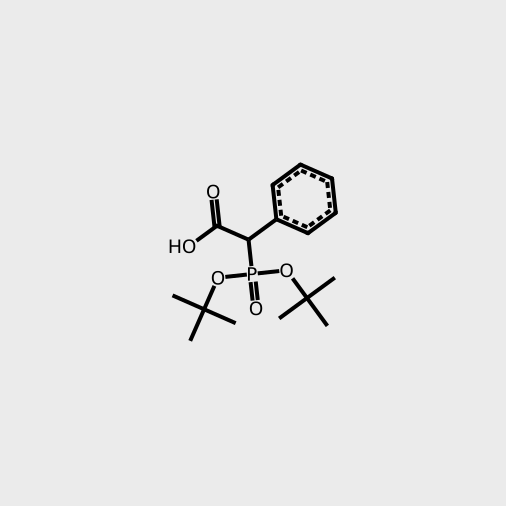 CC(C)(C)OP(=O)(OC(C)(C)C)C(C(=O)O)c1ccccc1